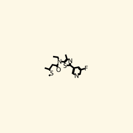 CCN(C(=O)CC(C)SC)c1sc(-c2cncc(F)c2)nc1C